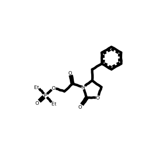 CCP(=O)(CC)OCC(=O)N1C(=O)OCC1Cc1ccccc1